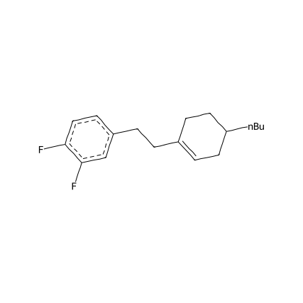 CCCCC1CC=C(CCc2ccc(F)c(F)c2)CC1